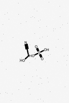 N#CCO.O=S(=O)(O)O